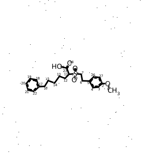 COc1ccc(CCS(=O)(=O)C(CCCCCc2ccccc2)C(=O)O)cc1